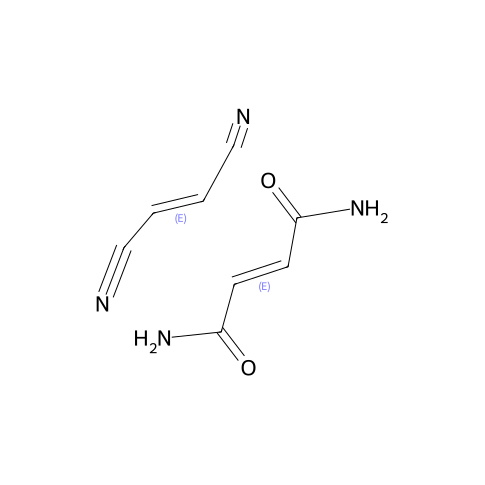 N#C/C=C/C#N.NC(=O)/C=C/C(N)=O